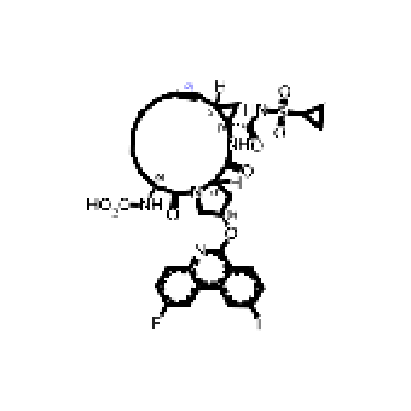 O=C(O)N[C@H]1CCCCC/C=C\[C@@H]2C[C@@]2(C(=O)NS(=O)(=O)C2CC2)NC(=O)[C@@H]2C[C@@H](Oc3nc4ccc(F)cc4c4cc(F)ccc34)CN2C1=O